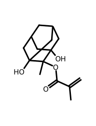 C=C(C)C(=O)OC1(C)C2(O)CC3CC(C2)CC1(O)C3